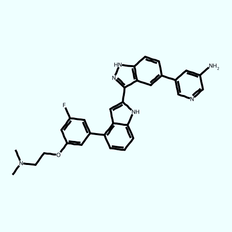 CN(C)CCOc1cc(F)cc(-c2cccc3[nH]c(-c4n[nH]c5ccc(-c6cncc(N)c6)cc45)cc23)c1